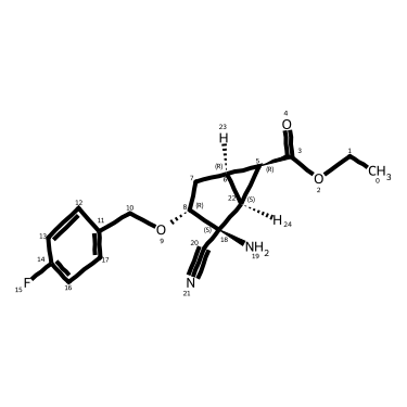 CCOC(=O)[C@@H]1[C@@H]2C[C@@H](OCc3ccc(F)cc3)[C@@](N)(C#N)[C@@H]21